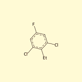 CCc1c(Cl)cc(F)cc1Cl